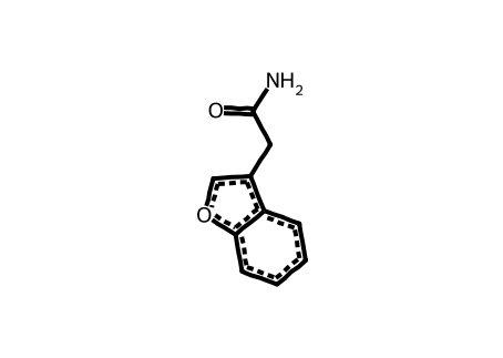 NC(=O)Cc1coc2ccccc12